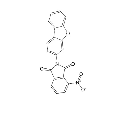 O=C1c2cccc([N+](=O)[O-])c2C(=O)N1c1ccc2c(c1)oc1ccccc12